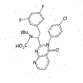 CC(C)(C)N(C(=O)O)C(Cc1cc(F)cc(F)c1)c1nc2ncccc2c(=O)n1-c1ccc(Cl)cc1